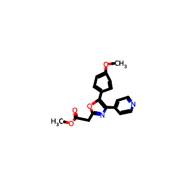 COC(=O)Cc1nc(-c2ccncc2)c(-c2ccc(OC)cc2)o1